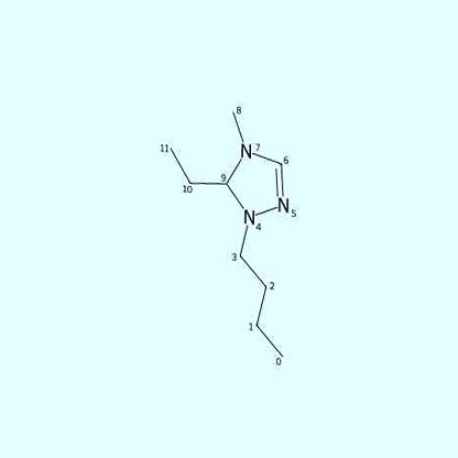 CCCCN1N=CN(C)C1CC